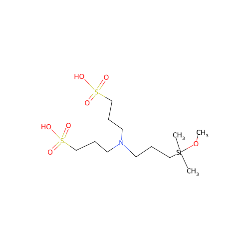 CO[Si](C)(C)CCCN(CCCS(=O)(=O)O)CCCS(=O)(=O)O